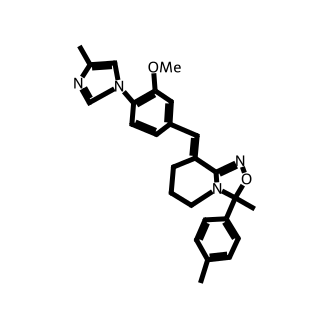 COc1cc(/C=C2\CCCN3C2=NOC3(C)c2ccc(C)cc2)ccc1-n1cnc(C)c1